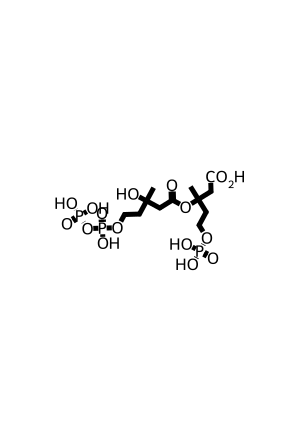 CC(O)(CCOP(=O)(O)OP(=O)(O)O)CC(=O)OC(C)(CCOP(=O)(O)O)CC(=O)O